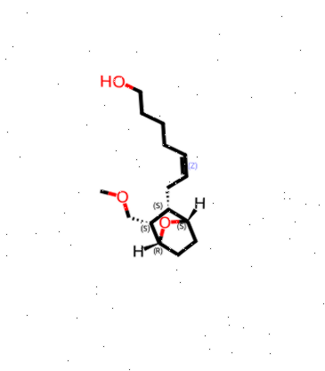 COC[C@@H]1[C@H](C/C=C\CCCCO)[C@@H]2CC[C@H]1O2